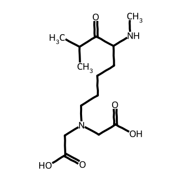 CNC(CCCCN(CC(=O)O)CC(=O)O)C(=O)C(C)C